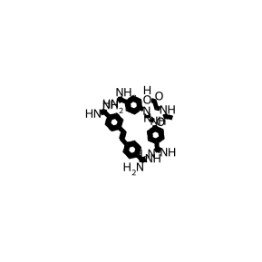 CC(=O)NCC(=O)O.N=C(N)c1ccc(/C=C/c2ccc(C(=N)N)cc2)cc1.N=C(N)c1ccc(/N=N/Nc2ccc(C(=N)N)cc2)cc1